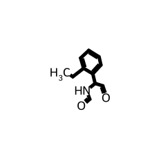 CCc1ccccc1C(C=O)NC=O